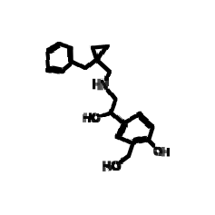 OCc1cc(C(O)CNCC2(Cc3ccccc3)CC2)ccc1O